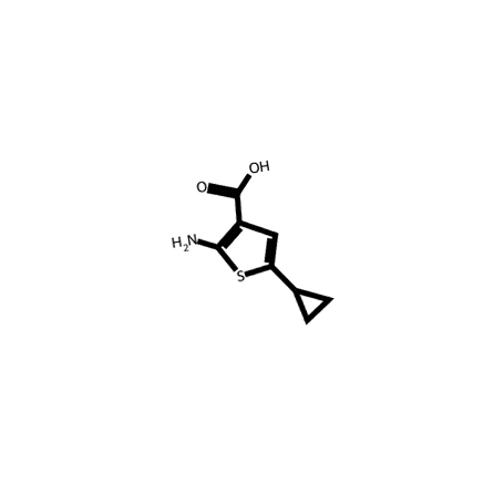 Nc1sc(C2CC2)cc1C(=O)O